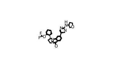 O=c1c2ccc(-c3cnc(N[C@@H]4CCOC4)nc3)cc2n2n1CC[C@H]2c1ccccc1OC(F)F